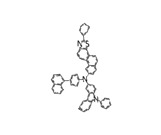 c1ccc(-c2nc3ccc4c5cc(N(c6ccc(-c7cccc8ccccc78)cc6)c6ccc7c(c6)c6ccccc6n7-c6ccccc6)ccc5ccc4c3s2)cc1